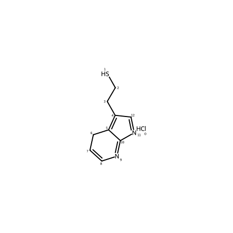 Cl.SCCC1=C2CC=CN=C2N=C1